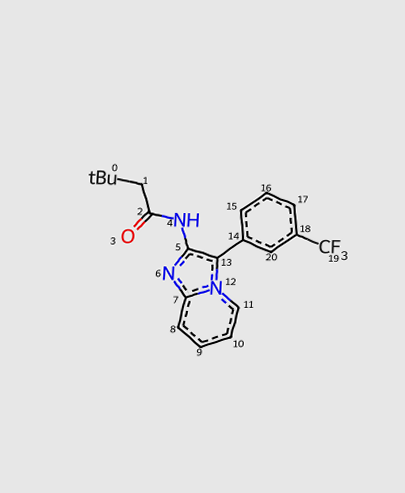 CC(C)(C)CC(=O)Nc1nc2ccccn2c1-c1cccc(C(F)(F)F)c1